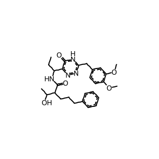 CCC(NC(=O)C(CCCc1ccccc1)C(C)O)c1nnc(Cc2ccc(OC)c(OC)c2)[nH]c1=O